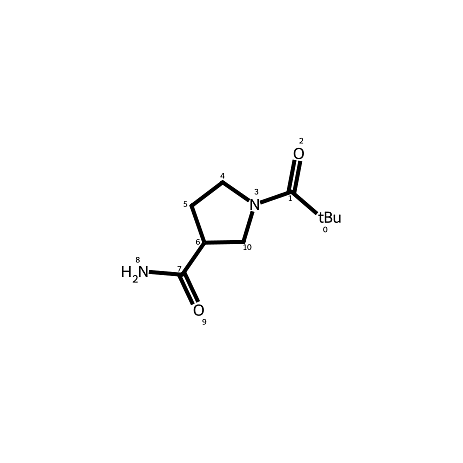 CC(C)(C)C(=O)N1CCC(C(N)=O)C1